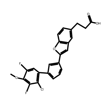 COc1c(F)cc(-c2cccc(-c3cc4cc(CCC(=O)O)ccc4o3)c2)c(Cl)c1F